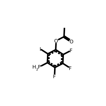 CC(=O)Oc1c(F)c(F)c(F)c(P)c1I